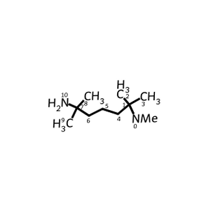 CNC(C)(C)CCCC(C)(C)N